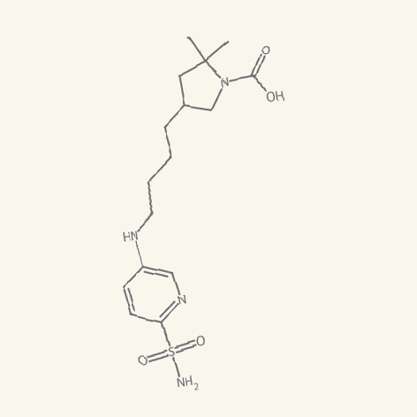 CC1(C)CC(CCCCNc2ccc(S(N)(=O)=O)nc2)CN1C(=O)O